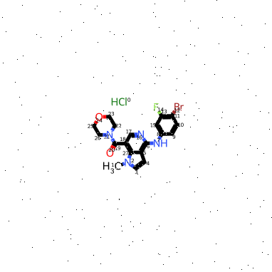 Cl.Cn1ccc2c(Nc3ccc(Br)c(F)c3)ncc(C(=O)N3CCOCC3)c21